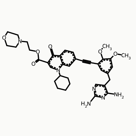 COc1cc(Cc2cnc(N)nc2N)cc(C#Cc2ccc3c(=O)c(C(=O)OCCN4CCOCC4)cn(C4CCCCC4)c3c2)c1OC